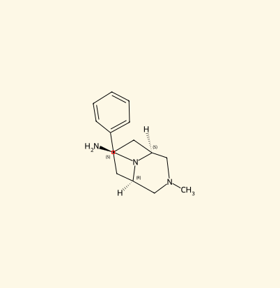 CN1C[C@H]2C[C@@H](N)C[C@@H](C1)N2Cc1ccccc1